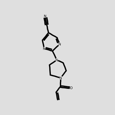 C=CC(=O)N1CCN(c2ncc(C#N)cn2)CC1